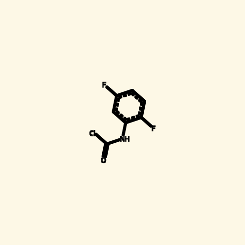 O=C(Cl)Nc1cc(F)ccc1F